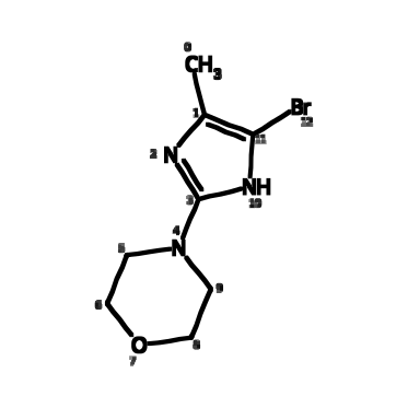 Cc1nc(N2CCOCC2)[nH]c1Br